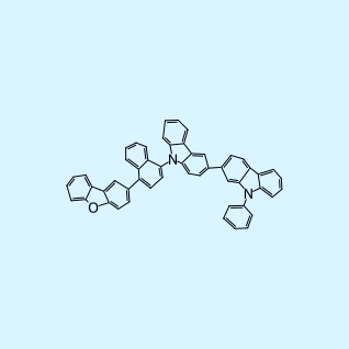 c1ccc(-n2c3ccccc3c3ccc(-c4ccc5c(c4)c4ccccc4n5-c4ccc(-c5ccc6oc7ccccc7c6c5)c5ccccc45)cc32)cc1